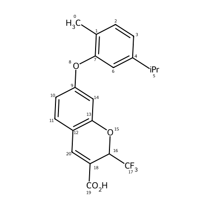 Cc1ccc(C(C)C)cc1Oc1ccc2c(c1)OC(C(F)(F)F)C(C(=O)O)=C2